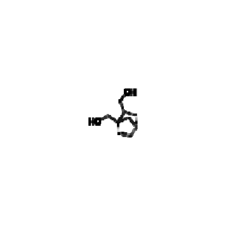 OCC1CC2C=CC1(CO)C2